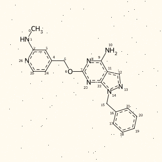 CNc1cc(COc2nc(N)c3cnn(Cc4ccccc4)c3n2)ccn1